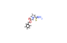 NC(=S)[C@@H]1CCCN1CC(=O)OCc1ccccc1